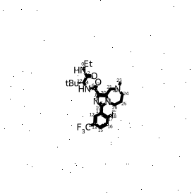 CCNC(=O)[C@@H](NC(=O)c1nc(-c2cc(C(F)(F)F)ccc2F)n2c1CN(C)CCC2)C(C)(C)C